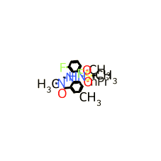 CCCC(C)(C)S(=O)(=O)Nc1cc(C)cc2c1N(c1c(F)cccc1F)CN(C)C2=O